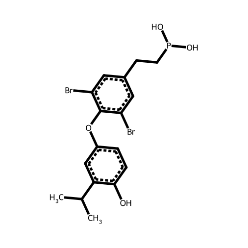 CC(C)c1cc(Oc2c(Br)cc(CCP(O)O)cc2Br)ccc1O